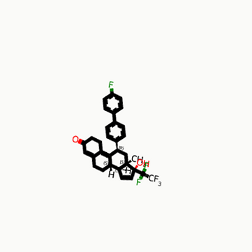 C[C@]12C[C@H](c3ccc(-c4ccc(F)cc4)cc3)C3=C4CCC(=O)C=C4CC[C@H]3[C@@H]1C=C[C@@]2(O)C(F)(F)C(F)(F)F